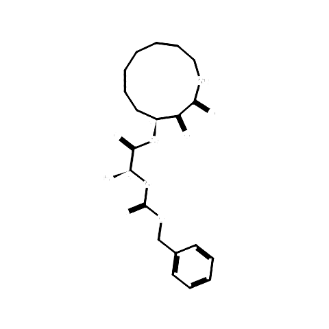 CC(C)[C@H](NC(=O)OCc1ccccc1)C(=O)N[C@H]1CCCCCCCNC(=O)C1=O